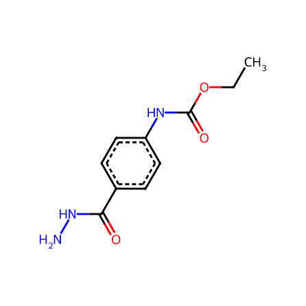 CCOC(=O)Nc1ccc(C(=O)NN)cc1